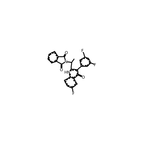 CC(c1[nH]c2ccc(F)cc2c(=O)c1-c1cc(F)cc(F)c1)N1C(=O)c2ccccc2C1=O